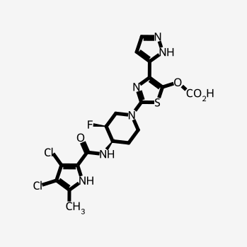 Cc1[nH]c(C(=O)N[C@@H]2CCN(c3nc(-c4ccn[nH]4)c(OC(=O)O)s3)C[C@@H]2F)c(Cl)c1Cl